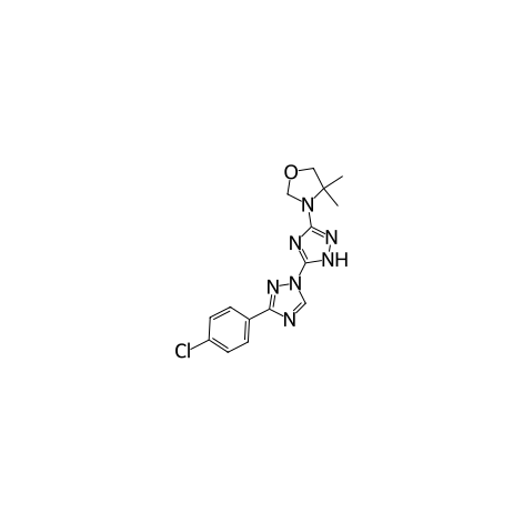 CC1(C)COCN1c1n[nH]c(-n2cnc(-c3ccc(Cl)cc3)n2)n1